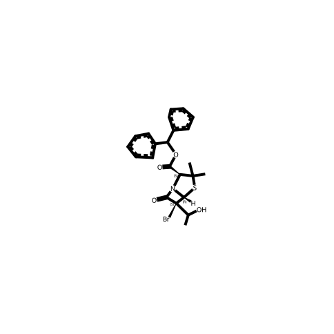 CC(O)[C@]1(Br)C(=O)N2[C@@H](C(=O)OC(c3ccccc3)c3ccccc3)C(C)(C)S[C@@H]21